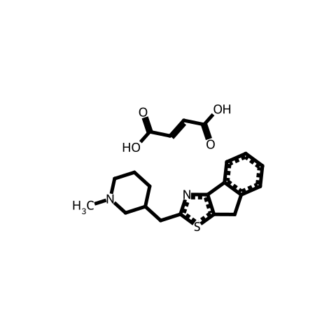 CN1CCCC(Cc2nc3c(s2)Cc2ccccc2-3)C1.O=C(O)C=CC(=O)O